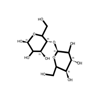 OCC1O[C@@H](O[C@H]2C(CO)O[C@H](O)C(O)[C@@H]2O)C(O)[C@H](O)[C@H]1O